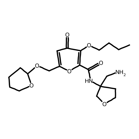 CCCCOc1c(C(=O)NC2(CN)CCOC2)oc(COC2CCCCO2)cc1=O